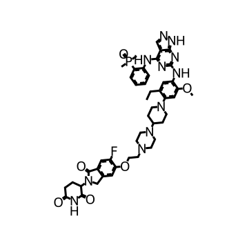 CCc1cc(Nc2nc(Nc3ccccc3P(C)(C)=O)c3cn[nH]c3n2)c(OC)cc1N1CCC(N2CCN(CCOc3cc4c(cc3F)C(=O)N(C3CCC(=O)NC3=O)C4)CC2)CC1